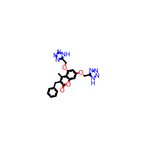 Cc1c(Cc2ccccc2)c(=O)oc2cc(OCc3nnn[nH]3)cc(OCc3nnn[nH]3)c12